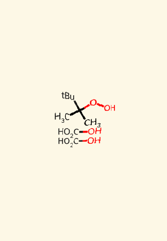 CC(C)(C)C(C)(C)OO.O=C(O)O.O=C(O)O